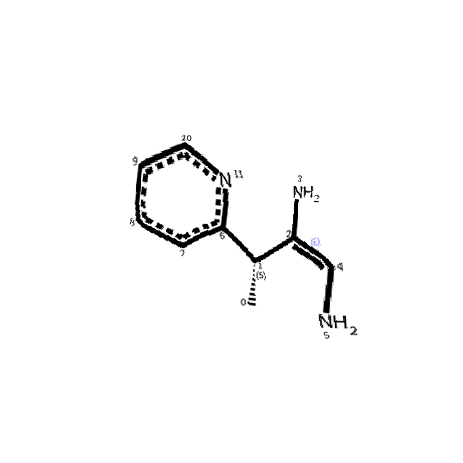 C[C@@H](/C(N)=C\N)c1ccccn1